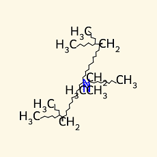 C=C(CCCCCCCCCCC(CCCCCCCCCCC(=C)C(CCCC)CCCCCC)N(C(=C)CCCCCCCC)N(C)C)C(CCCC)CCCCCC